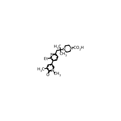 CCc1nc(CC(C)(C)N2CCN(C(=O)O)CC2)ccc1-c1cc(C)c(=O)n(C)c1